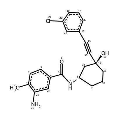 Cc1ccc(C(=O)N[C@H]2CCC[C@@](O)(C#Cc3cccc(Cl)c3)C2)cc1N